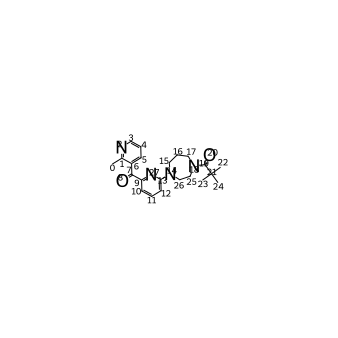 Cc1ncccc1C(=O)c1cccc(N2CCCN(C(=O)C(C)(C)C)CC2)n1